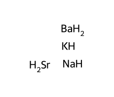 [BaH2].[KH].[NaH].[SrH2]